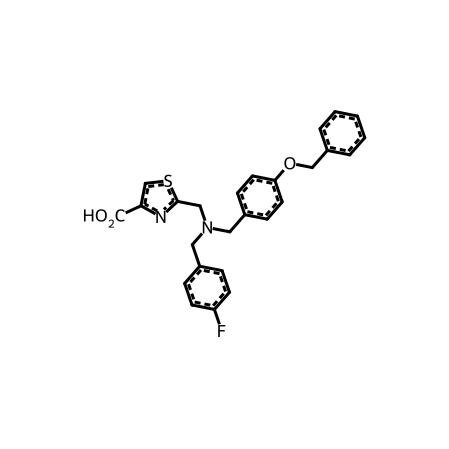 O=C(O)c1csc(CN(Cc2ccc(F)cc2)Cc2ccc(OCc3ccccc3)cc2)n1